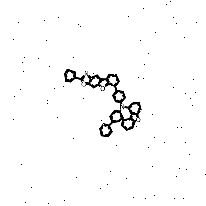 c1ccc(-c2ccc(N(c3ccc(-c4cccc5c4oc4cc6oc(-c7ccccc7)nc6cc45)cc3)c3cccc4oc5ccccc5c34)cc2)cc1